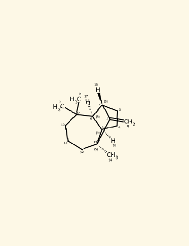 C=C1[C@H]2CC[C@@H]3[C@H]2C(C)(C)CCC[C@]13C